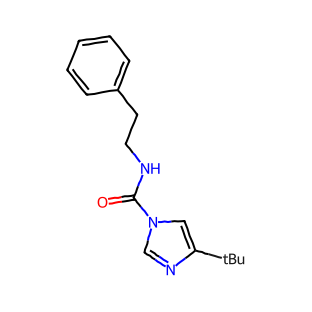 CC(C)(C)c1cn(C(=O)NCCc2ccccc2)cn1